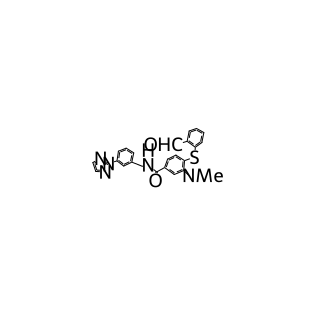 CNc1cc(C(=O)NCc2cccc(-n3nccn3)c2)ccc1Sc1ccccc1C=O